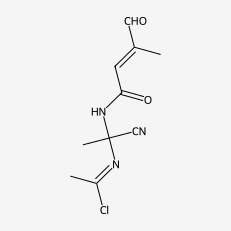 C/C(C=O)=C\C(=O)NC(C)(C#N)/N=C(\C)Cl